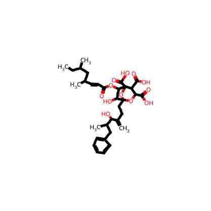 C=C(CCC12OC(C(=O)O)C(C(=O)O)C(C(=O)O)(O1)C(OC(=O)C=CC(C)CC(C)CC)C2O)C(O)C(C)Cc1ccccc1